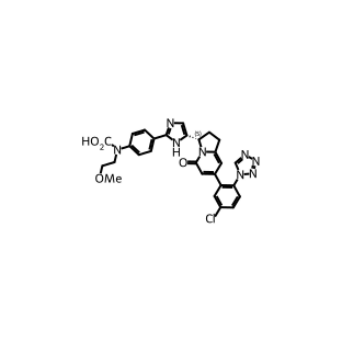 COCCN(C(=O)O)c1ccc(-c2ncc([C@@H]3CCc4cc(-c5cc(Cl)ccc5-n5cnnn5)cc(=O)n43)[nH]2)cc1